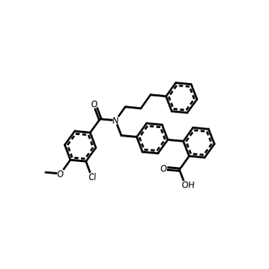 COc1ccc(C(=O)N(CCCc2ccccc2)Cc2ccc(-c3ccccc3C(=O)O)cc2)cc1Cl